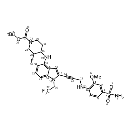 COc1cc(S(N)(=O)=O)ccc1NCC#Cc1cc2c(NC3CCN(C(=O)OC(C)(C)C)CC3F)cccc2n1CC(F)(F)F